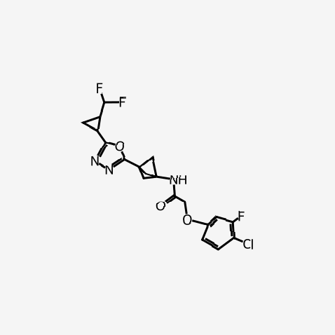 O=C(COc1ccc(Cl)c(F)c1)NC12CC(c3nnc(C4CC4C(F)F)o3)(C1)C2